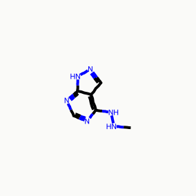 CNNc1ncnc2[nH]ncc12